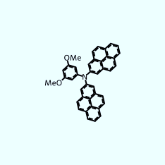 COc1cc(OC)cc(N(c2cc3ccc4cccc5ccc(c2)c3c45)c2cc3ccc4cccc5ccc(c2)c3c45)c1